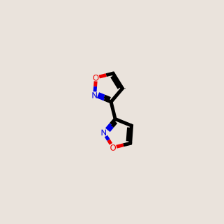 [c]1conc1-c1ccon1